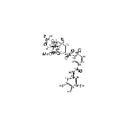 COC(=O)C1([C@@]2(O)[C@H]3CC(C)[C@@H]2C[C@@H](S(=O)(=O)c2cc(C(=O)Nc4cc(F)c(F)c(F)c4)ccc2Cl)C3)COC(C)(C)O1